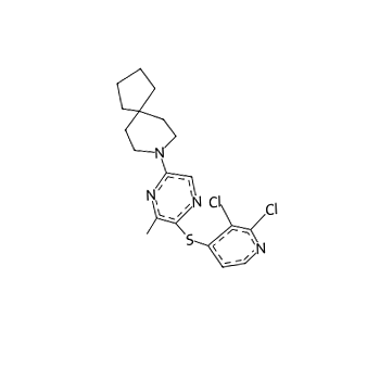 Cc1nc(N2CCC3(CCCC3)CC2)cnc1Sc1ccnc(Cl)c1Cl